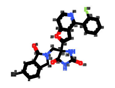 CCc1ccc2c(c1)C(=O)N(C[C@@]1(c3cc4c(-c5ccccc5F)nccc4o3)NC(=O)NC1=O)C2